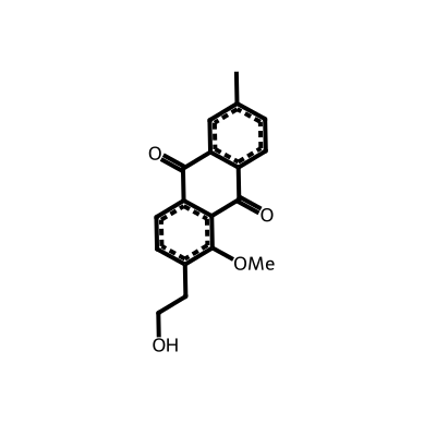 COc1c(CCO)ccc2c1C(=O)c1ccc(C)cc1C2=O